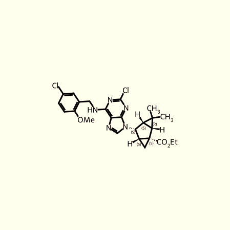 CCOC(=O)[C@]12C[C@@H]1[C@H](n1cnc3c(NCc4cc(Cl)ccc4OC)nc(Cl)nc31)[C@H]1[C@@H]2C1(C)C